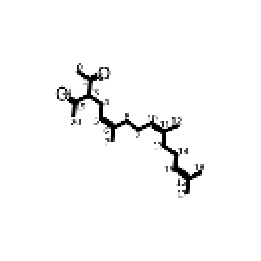 CC(=O)C(CC=C(C)CCC=C(C)CCC=C(C)C)C(C)=O